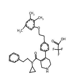 Cc1cc(C)c(C)c(OCCc2ccc(C3=C(C(=O)N(CCc4ccccc4)C4CC4)CNCC3)cc2)c1.O=C(O)C(F)(F)F